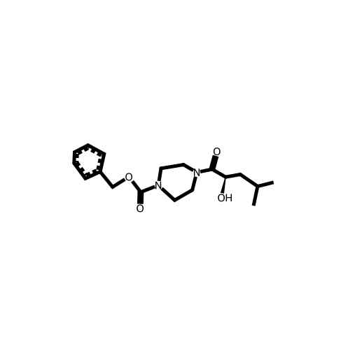 CC(C)C[C@@H](O)C(=O)N1CCN(C(=O)OCc2ccccc2)CC1